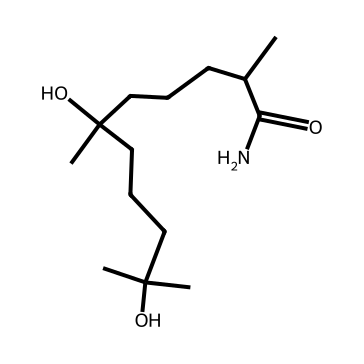 CC(CCCC(C)(O)CCCC(C)(C)O)C(N)=O